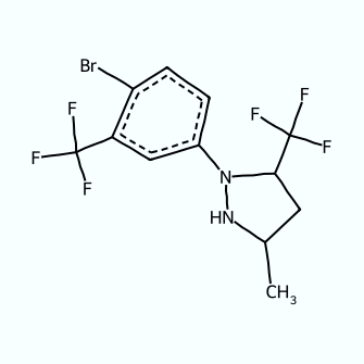 CC1CC(C(F)(F)F)N(c2ccc(Br)c(C(F)(F)F)c2)N1